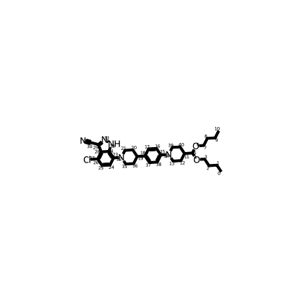 CCCCOC(OCCCC)C1CCN(c2ccc(C3CCN(c4ccc(Cl)c5c(C#N)n[nH]c45)CC3)cc2)CC1